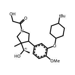 COc1ccc(C2CN(C(=O)CO)CC2(C)[C@@H](C)O)cc1OC1CCC(C(C)(C)C)CC1